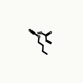 C=CC(=O)O.CCCCOC#N